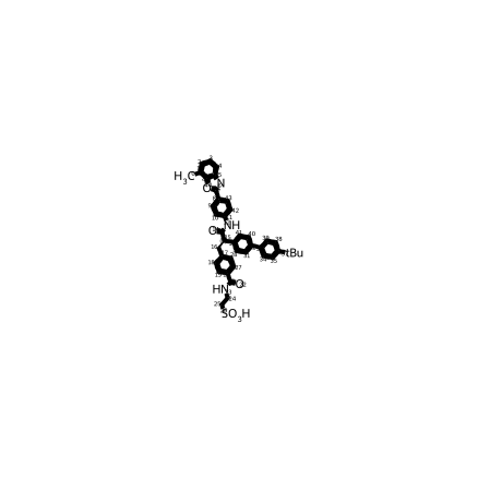 Cc1cccc2nc(-c3ccc(NC(=O)[C@H](Cc4ccc(C(=O)NCCS(=O)(=O)O)cc4)c4ccc(-c5ccc(C(C)(C)C)cc5)cc4)cc3)oc12